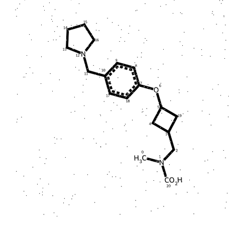 CN(CC1CC(Oc2ccc(CN3CCCC3)cc2)C1)C(=O)O